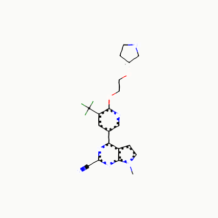 Cn1ccc2c(-c3cnc(OCCO[C@@H]4CCNC4)c(C(F)(F)F)c3)nc(C#N)nc21